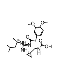 COc1ccc(CC(=O)N=C(N)N[C@H](C)CC(C)C)cc1OC.O=C(O)NCC1CC1